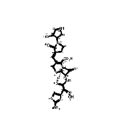 Nc1nc(C(=NO)C(=O)N[C@@H]2C(=O)N3C(C(=O)O)=C(C=C4CCN(C5CNCC5O)C4=O)CS[C@H]23)cs1